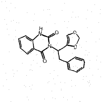 O=c1[nH]c2ccccc2c(=O)n1C(Cc1ccccc1)C1=COCO1